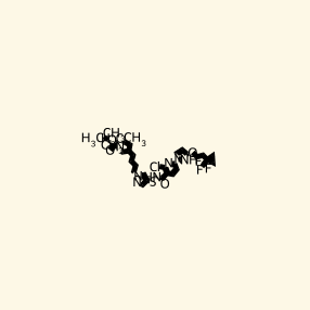 CC(C)(C)OC(=O)N1CC(CCCCn2cc(SNC(=O)c3ccc(N4C=CC(OCCC5(C(F)(F)F)CC5)N4)nc3Cl)cn2)CC1(C)C